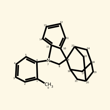 Cc1ccccc1N1CC2(c3ccccc31)C1CC3CC(C1)CC2C3